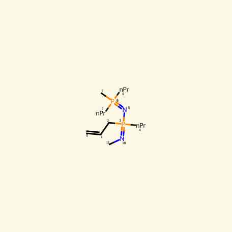 C=CCP(CCC)(N=P(C)(CCC)CCC)=NC